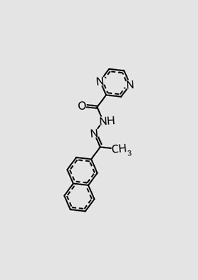 CC(=NNC(=O)c1cnccn1)c1ccc2ccccc2c1